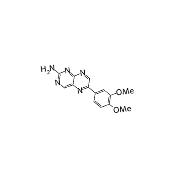 COc1ccc(-c2cnc3nc(N)ncc3n2)cc1OC